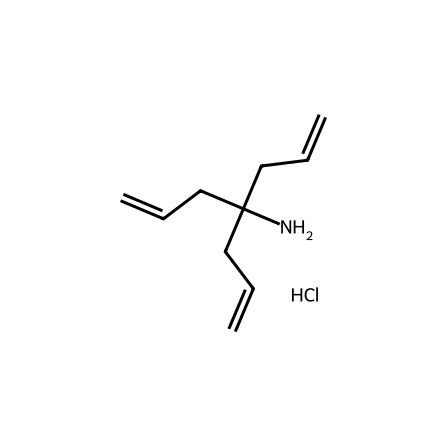 C=CCC(N)(CC=C)CC=C.Cl